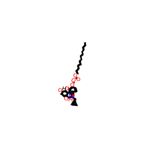 CCCCCCCCCCCCCCOC(=O)OCOc1ccc2c3c1O[C@H]1C(=O)CC[C@@]4(O)C(C2)N(CC2CC2)CC[C@]314